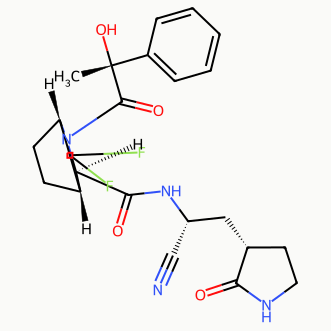 C[C@](O)(C(=O)N1[C@H]2CC[C@@H]([C@@H]1C(=O)N[C@@H](C#N)C[C@@H]1CCNC1=O)C(F)(F)C2)c1ccccc1